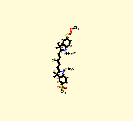 CCCCCCCN1C(=CC=C(Cl)C=CC2=[N+](CCCCCCC)c3ccc(SOOC(F)(F)F)cc3C2(C)C)C(C)(C)c2cc(S(=O)(=O)C(F)(F)F)ccc21